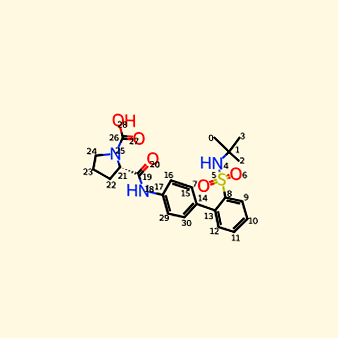 CC(C)(C)NS(=O)(=O)c1ccccc1-c1ccc(NC(=O)[C@@H]2CCCN2C(=O)O)cc1